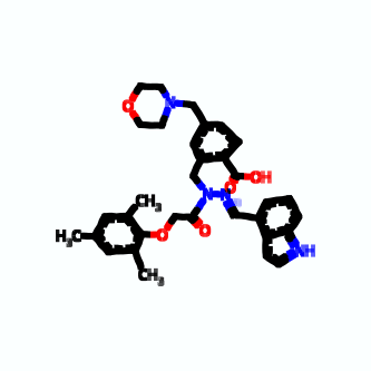 Cc1cc(C)c(OCC(=O)N(Cc2cc(CN3CCOCC3)ccc2C(=O)O)/N=C/c2cccc3[nH]ccc23)c(C)c1